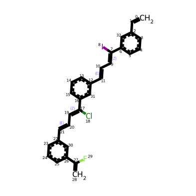 C=Cc1cccc(/C(I)=C/C=C/c2cccc(/C(Cl)=C/C=C/c3cccc(C(=C)F)c3)c2)c1